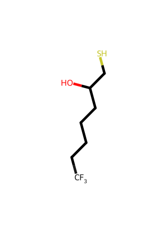 OC(CS)CCCCC(F)(F)F